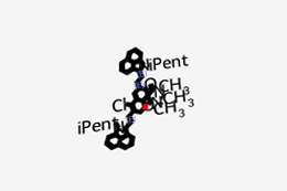 CCCC(C)n1/c(=C/C=C2/C=C3C(Cl)=C(/C=C/C4=[N+](C(C)CCC)c5cccc6cccc4c56)CCC3C3(C2)C(=O)N(C)C(C)N(C)C3=O)c2cccc3cccc1c32